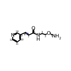 NOCCNC(=O)/C=C/c1cccnc1